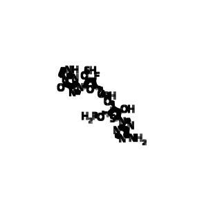 Nc1ncnc2c1ncn2[C@@H]1S[C@H](COP)[C@@H](COPOC[C@H]2O[C@@H](n3cnc4c(=O)n5cc[nH]c5nc43)[C@H](OS)[C@@H]2F)[C@H]1O